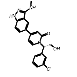 CNc1n[nH]c2ccc(-c3ccn([C@H](CO)c4cccc(Cl)c4)c(=O)c3)cc12